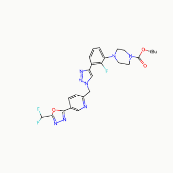 CC(C)(C)OC(=O)N1CCN(c2cccc(-c3cn(Cc4ccc(-c5nnc(C(F)F)o5)cn4)nn3)c2F)CC1